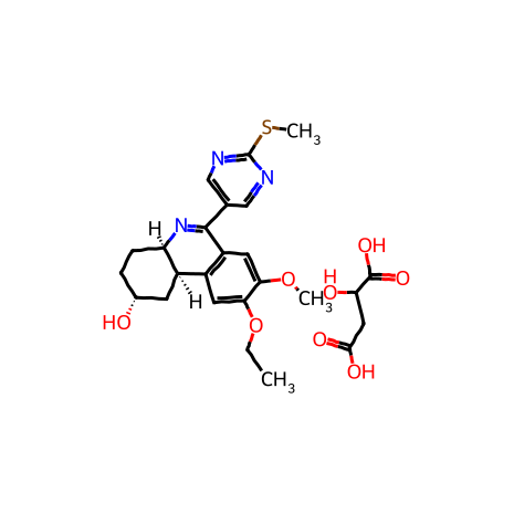 CCOc1cc2c(cc1OC)C(c1cnc(SC)nc1)=N[C@@H]1CC[C@@H](O)C[C@H]21.O=C(O)CC(O)C(=O)O